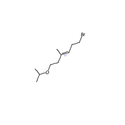 C/C(=C\CCBr)CCOC(C)C